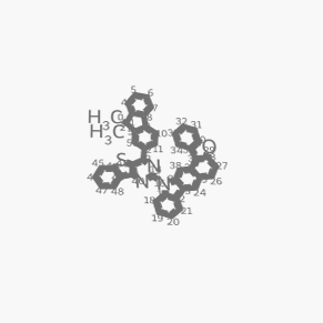 CC1(C)c2ccccc2-c2ccc(-c3nc(-n4c5ccccc5c5cc6ccc7oc8ccccc8c7c6cc54)nc4c3sc3ccccc34)cc21